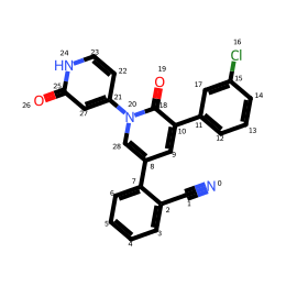 N#Cc1ccccc1-c1cc(-c2cccc(Cl)c2)c(=O)n(-c2cc[nH]c(=O)c2)c1